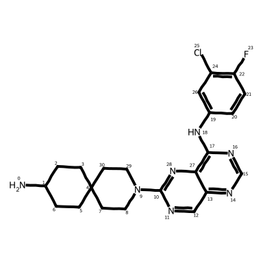 NC1CCC2(CC1)CCN(c1ncc3ncnc(Nc4ccc(F)c(Cl)c4)c3n1)CC2